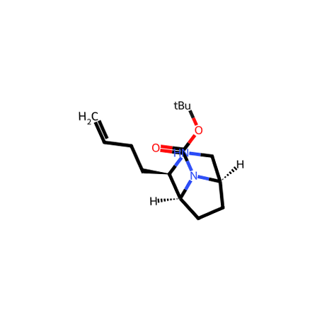 C=CCC[C@H]1NC[C@H]2CC[C@@H]1N2C(=O)OC(C)(C)C